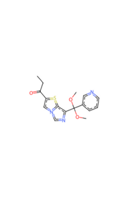 CCC(=O)c1cn2cnc(C(OC)(OC)c3cccnc3)c2s1